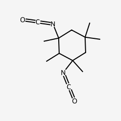 CC1C(C)(N=C=O)CC(C)(C)CC1(C)N=C=O